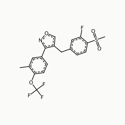 Cc1cc(-c2nocc2Cc2ccc(S(C)(=O)=O)c(F)c2)ccc1OC(F)(F)F